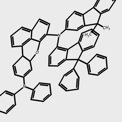 CC1(C)c2ccccc2-c2ccc(N(c3cccc4c3-c3ccccc3C4(c3ccccc3)c3ccccc3)c3ccc4cccc5c4c3OC3C=C(N(c4ccccc4)c4ccccc4)C=CC53)cc21